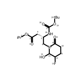 CC(C)OC(=O)C[C@@H](CN1C(=O)CCC(F)C1O)NC(=O)OC(C)(C)C